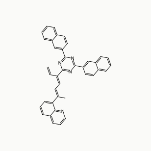 C=C/C(=C\C=C(/C)c1cccc2cccnc12)c1nc(-c2ccc3ccccc3c2)nc(-c2ccc3ccccc3c2)n1